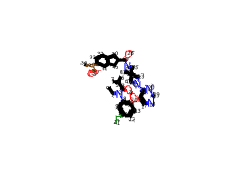 CCN(C(=O)C(C)C)c1cc(F)ccc1Oc1cncnc1N1CC2(CN(C(=O)C3Cc4ccc([S+](C)[O-])cc4C3)C2)C1